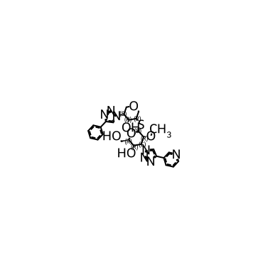 CO[C@@H]1[C@@H](n2cc(-c3cccnc3)nn2)[C@@H](O)[C@@H](CO)O[C@H]1S[C@@H]1COC[C@H](n2cc(-c3ccccc3)nn2)[C@H]1O